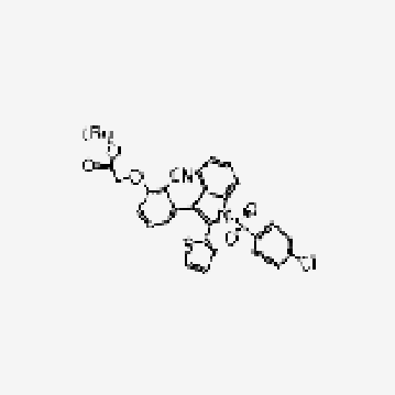 CC(C)(C)OC(=O)COc1cccc(-c2c(-c3cccs3)n(S(=O)(=O)c3ccc(Cl)cc3)c3ccccc23)c1C#N